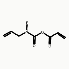 C=CCN(F)C(=O)OC(=O)C=C